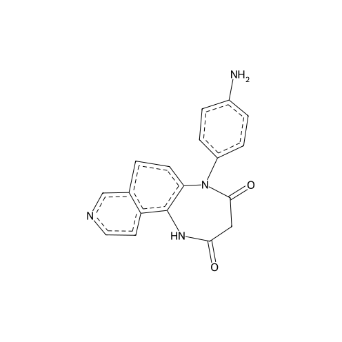 Nc1ccc(N2C(=O)CC(=O)Nc3c2ccc2cnccc32)cc1